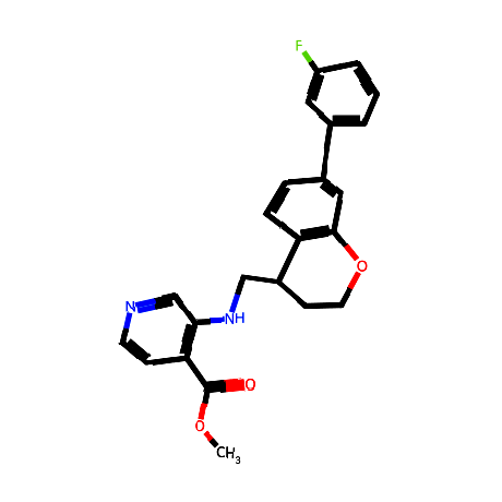 COC(=O)c1ccncc1NCC1CCOc2cc(-c3cccc(F)c3)ccc21